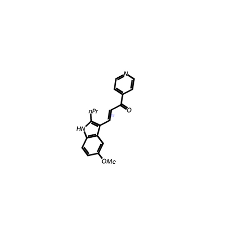 CCCc1[nH]c2ccc(OC)cc2c1/C=C/C(=O)c1ccncc1